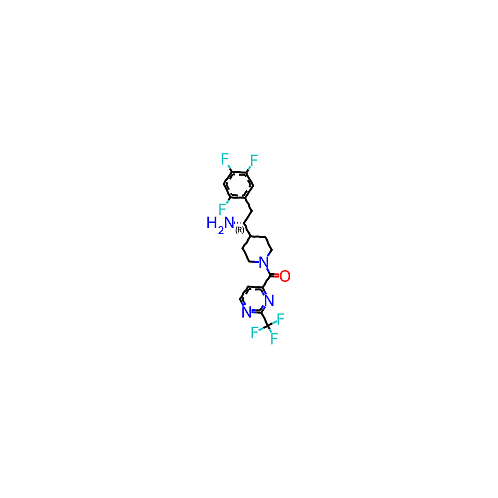 N[C@H](Cc1cc(F)c(F)cc1F)C1CCN(C(=O)c2ccnc(C(F)(F)F)n2)CC1